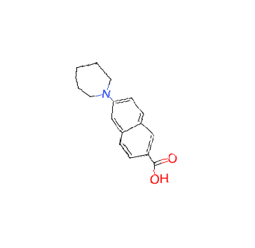 O=C(O)c1ccc2cc(N3CCCCC3)ccc2c1